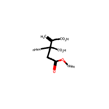 C=C(C(=O)O)C(CCCCCC)(CC(=O)OCCCCCC)C(=O)O